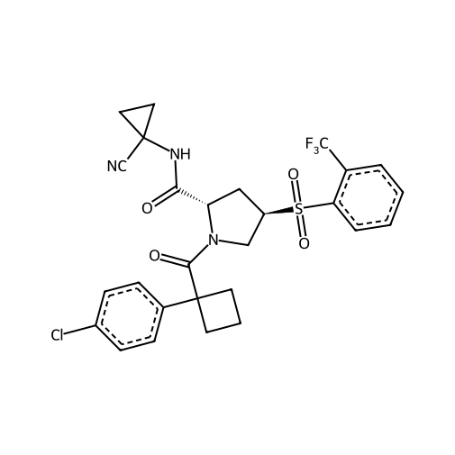 N#CC1(NC(=O)[C@@H]2C[C@@H](S(=O)(=O)c3ccccc3C(F)(F)F)CN2C(=O)C2(c3ccc(Cl)cc3)CCC2)CC1